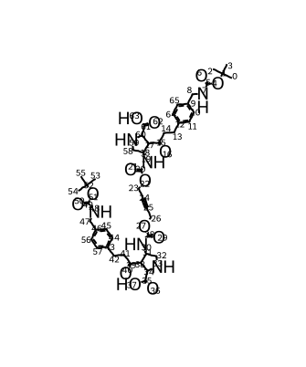 CC(C)(C)OC(=O)NCc1ccc(CCC(=O)C2C(NC(=O)OCC#CCOC(=O)NC3CNC(C(=O)O)C3C(=O)CCc3ccc(CNC(=O)OC(C)(C)C)cc3)CNC2C(=O)O)cc1